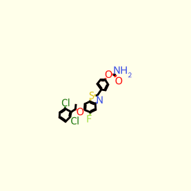 CC(Oc1cc2sc(-c3ccc(OC(N)=O)cc3)nc2cc1F)c1c(Cl)cccc1Cl